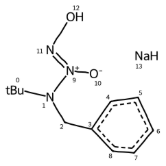 CC(C)(C)N(Cc1ccccc1)[N+]([O-])=NO.[NaH]